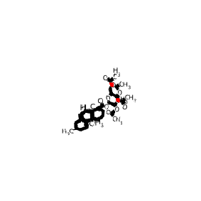 CC(=O)OCC(OC(OC(=O)[C@]1(C)CCC[C@@]2(C)C3CC[C@@H](C)CC3CCC21)C(OC(C)=O)OC(C)=O)C(C)OC(C)=O